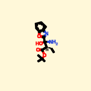 CC[C@H](C(=O)OC(C)(C)C)C(N)(O)c1nc2ccccc2o1